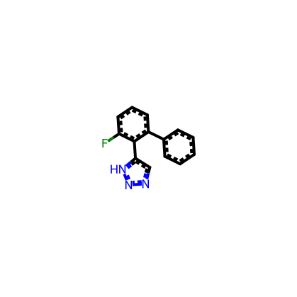 Fc1cccc(-c2ccccc2)c1-c1cnn[nH]1